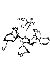 Cc1ccc2nnn(-c3nc(N4CCOCC4)c4nc(-c5ccncc5)n(C)c4n3)c2c1.O=C(O)C(F)(F)F